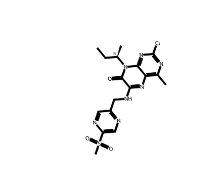 CC[C@@H](C)n1c(=O)c(NCc2cnc(S(C)(=O)=O)cn2)nc2c(C)nc(Cl)nc21